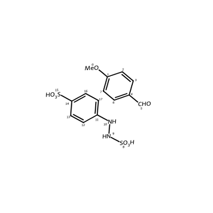 COc1ccc(C=O)cc1.O=S(=O)(O)NNc1ccc(S(=O)(=O)O)cc1